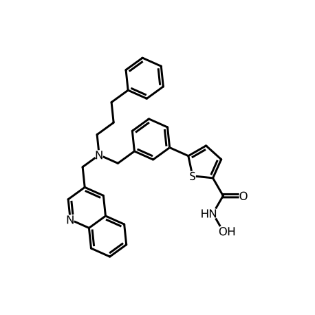 O=C(NO)c1ccc(-c2cccc(CN(CCCc3ccccc3)Cc3cnc4ccccc4c3)c2)s1